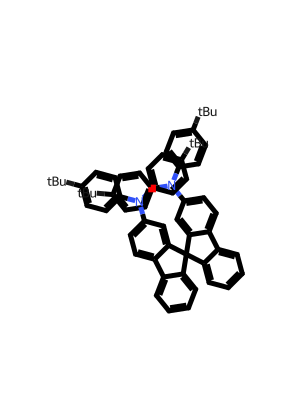 CC(C)(C)c1ccc(N(c2ccc(C(C)(C)C)cc2)c2ccc3c(c2)C2(c4ccccc4-3)c3ccccc3-c3ccc(N(c4ccc(C(C)(C)C)cc4)c4ccc(C(C)(C)C)cc4)cc32)cc1